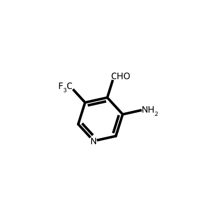 Nc1cncc(C(F)(F)F)c1C=O